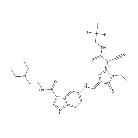 CCN(CC)CCNC(=O)c1c[nH]c2ccc(NC=c3s/c(=C(/C#N)C(=O)NCC(F)(F)F)n(CC)c3=O)cc12